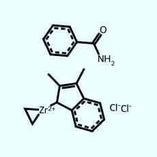 CC1=C(C)[CH]([Zr+2]2[CH2][CH2]2)c2ccccc21.NC(=O)c1ccccc1.[Cl-].[Cl-]